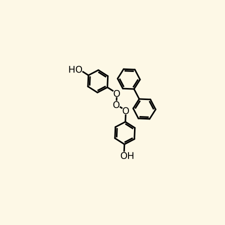 Oc1ccc(OOOc2ccc(O)cc2)cc1.c1ccc(-c2ccccc2)cc1